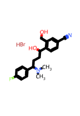 Br.CN(C)C(CCC(O)c1ccc(C#N)cc1CO)c1ccc(F)cc1